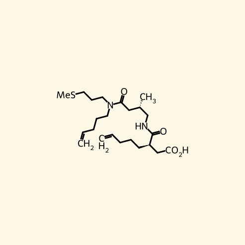 C=CCCC[C@H](CC(=O)O)C(=O)NC[C@@H](C)CC(=O)N(CCCC=C)CCCSC